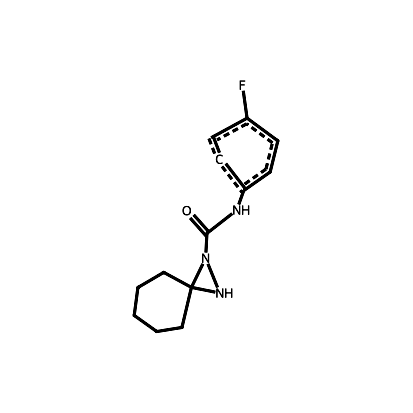 O=C(Nc1ccc(F)cc1)N1NC12CCCCC2